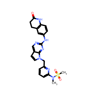 CN(c1cccc(Cn2ccc3cnc(Nc4ccc5c(c4)CCC(=O)N5)nc32)n1)S(C)(=O)=O